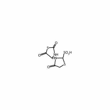 O=C1CNC(=O)S1.O=C1CSC(S(=O)(=O)O)N1